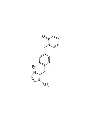 CCn1ccc(C)c1Cc1ccc(Cn2ccccc2=O)cc1